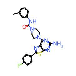 Cc1cccc(NC(=O)N2CCN(c3nc(N)nc4sc(-c5ccc(F)cc5)nc34)CC2)c1